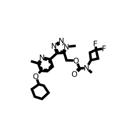 Cc1nc(-c2nnn(C)c2COC(=O)N(C)C2CC(F)(F)C2)ccc1OC1CCCCC1